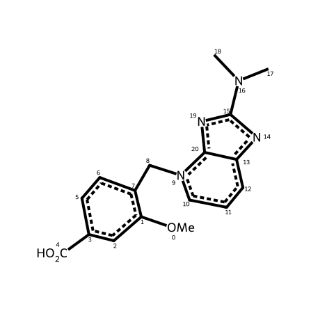 COc1cc(C(=O)O)ccc1Cn1cccc2nc(N(C)C)nc1-2